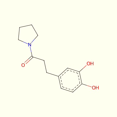 O=C(CCc1ccc(O)c(O)c1)N1CCCC1